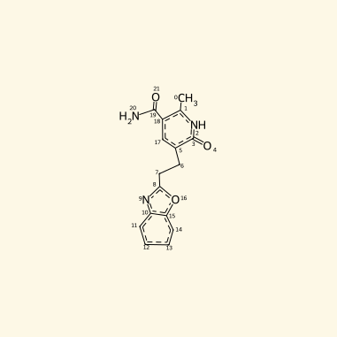 Cc1[nH]c(=O)c(CCc2nc3ccccc3o2)cc1C(N)=O